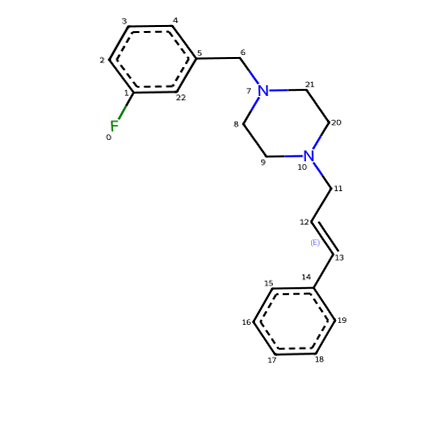 Fc1cccc(CN2CCN(C/C=C/c3ccccc3)CC2)c1